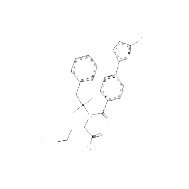 CC(=O)c1ccc(-c2ccc(C(=O)N([C@@H](CCC(=O)O)C(N)=O)C(C)(C)Cc3ccccc3)cc2)s1